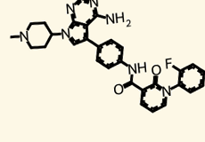 CN1CCC(n2cc(-c3ccc(NC(=O)c4cccn(-c5ccccc5F)c4=O)cc3)c3c(N)ncnc32)CC1